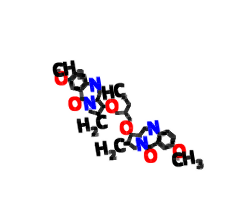 C#CCC(COC1C(=C)CN2C(=O)c3cc(OC)ccc3N=CC12)COC1C(=C)CN2C(=O)c3cc(OC)ccc3N=CC12